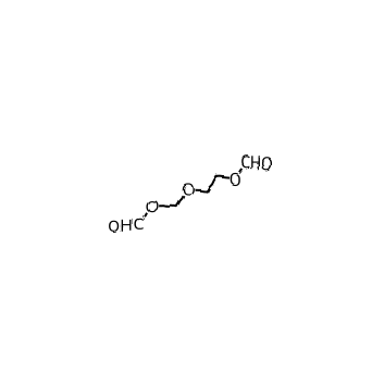 O=COCCOCOC=O